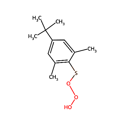 Cc1cc(C(C)(C)C)cc(C)c1SOOO